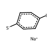 [Na+].[S-]c1ccc(I)cc1